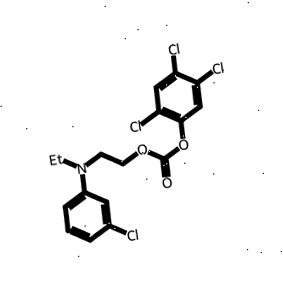 CCN(CCOC(=O)Oc1cc(Cl)c(Cl)cc1Cl)c1cccc(Cl)c1